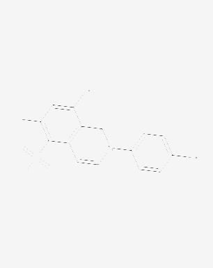 O=S(=O)(c1c(O)cc(O)c2c1C=CN(c1ccc(O)cc1)C2)C(F)(F)F